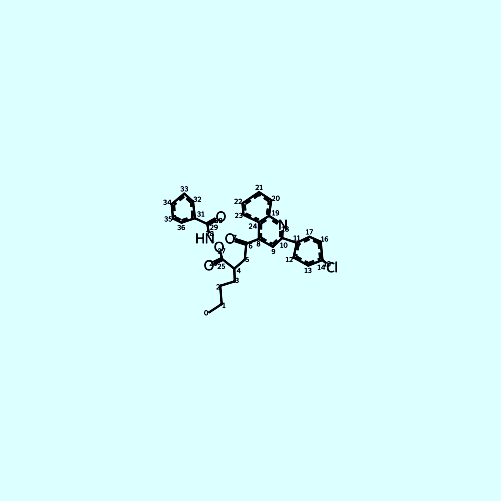 CCCCC(CC(=O)c1cc(-c2ccc(Cl)cc2)nc2ccccc12)C(=O)ONC(=O)c1ccccc1